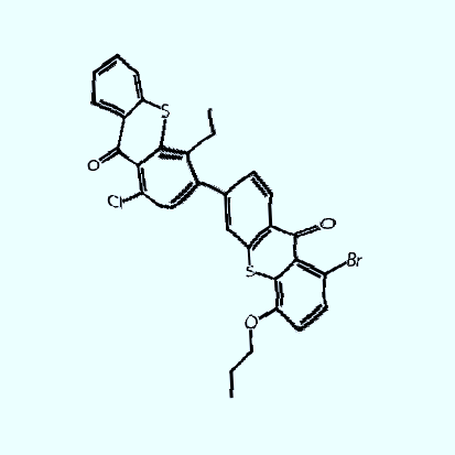 CCCOc1ccc(Br)c2c(=O)c3ccc(-c4cc(Cl)c5c(=O)c6ccccc6sc5c4CC)cc3sc12